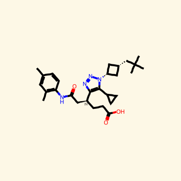 Cc1ccc(NC(=O)C[C@H](CCC(=O)O)c2nnn([C@H]3C[C@@H](CC(C)(C)C)C3)c2C2CC2)c(C)c1